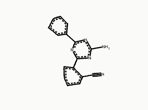 N#Cc1ccccc1-c1nc(N)nc(-c2ccccc2)n1